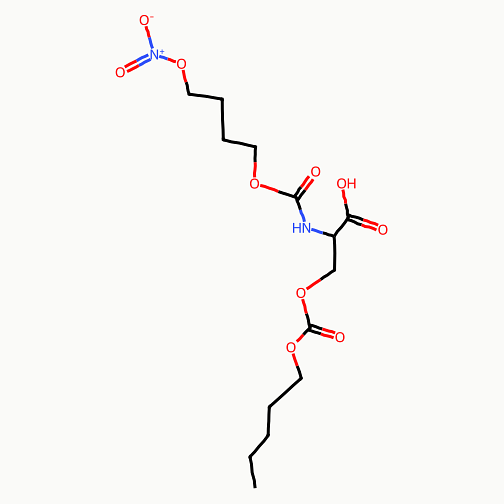 CCCCCOC(=O)OCC(NC(=O)OCCCCO[N+](=O)[O-])C(=O)O